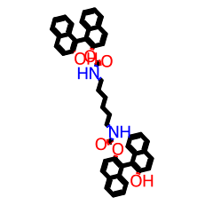 O=C(NCCCCCCNC(=O)Oc1ccc2ccccc2c1-c1c(O)ccc2ccccc12)Oc1ccc2ccccc2c1-c1c(O)ccc2ccccc12